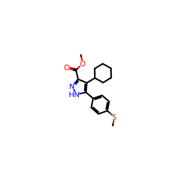 COC(=O)c1n[nH]c(-c2ccc(SC)cc2)c1C1CCCCC1